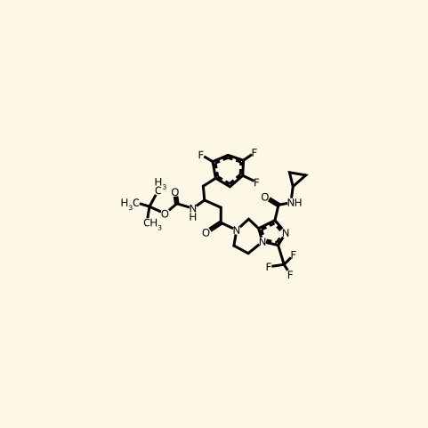 CC(C)(C)OC(=O)NC(CC(=O)N1CCn2c(C(F)(F)F)nc(C(=O)NC3CC3)c2C1)Cc1cc(F)c(F)cc1F